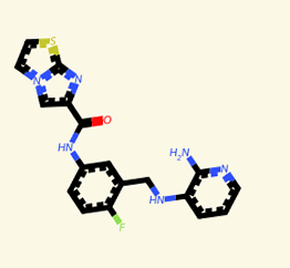 Nc1ncccc1NCc1cc(NC(=O)c2cn3ccsc3n2)ccc1F